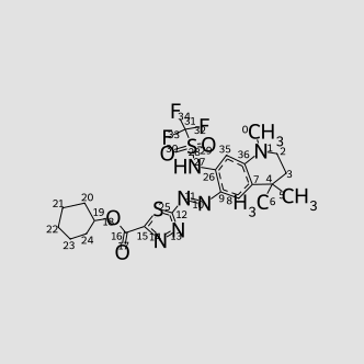 CN1CCC(C)(C)c2cc(N=Nc3nnc(C(=O)OC4CCCCC4)s3)c(NS(=O)(=O)C(F)(F)F)cc21